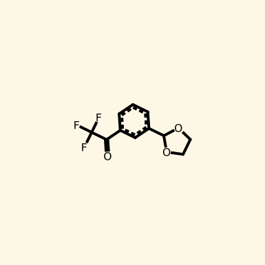 O=C(c1cccc(C2OCCO2)c1)C(F)(F)F